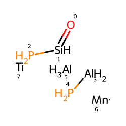 O=[SiH]P.[AlH2][PH2].[AlH3].[Mn].[Ti]